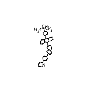 CC(C)(C)C1=CC=C(C2=c3ccccc3=C(C3=Cc4cc(C5=CCC(c6ccccn6)C=C5)ccc4CC3)C3C=CC=CC23)CC1